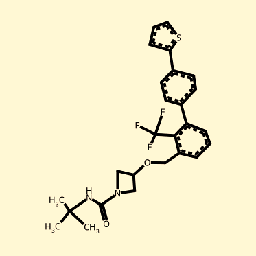 CC(C)(C)NC(=O)N1CC(OCc2cccc(-c3ccc(-c4cccs4)cc3)c2C(F)(F)F)C1